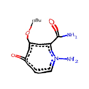 CCCCOc1c(C(N)=O)n(N)ccc1=O